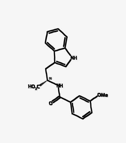 COc1cccc(C(=O)N[C@@H](Cc2c[nH]c3ccccc23)C(=O)O)c1